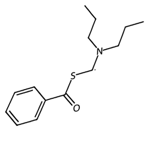 CCCN([CH]SC(=O)c1ccccc1)CCC